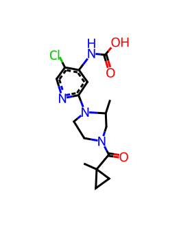 CC1CN(C(=O)C2(C)CC2)CCN1c1cc(NC(=O)O)c(Cl)cn1